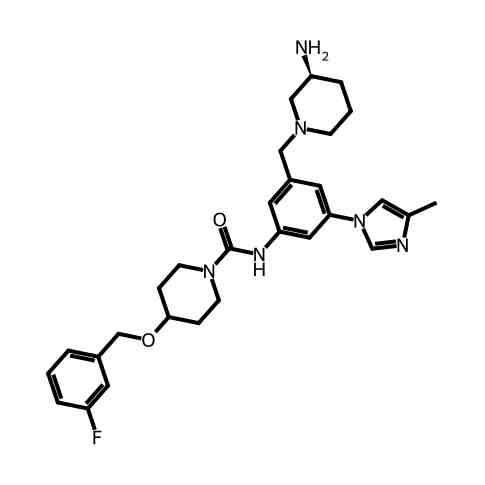 Cc1cn(-c2cc(CN3CCC[C@H](N)C3)cc(NC(=O)N3CCC(OCc4cccc(F)c4)CC3)c2)cn1